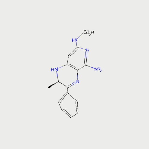 C[C@H]1Nc2cc(NC(=O)O)nc(N)c2N=C1c1ccccc1